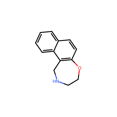 c1ccc2c3c(ccc2c1)OCCNC3